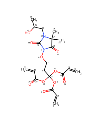 C=CC(=O)OC(CCON1C(=O)N(CC(C)O)C(C)(C)C1=O)(OC(=O)C=C)OC(=O)C=C